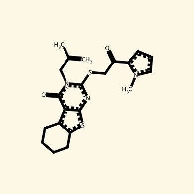 C=C(C)Cn1c(SCC(=O)c2cccn2C)nc2sc3c(c2c1=O)CCCC3